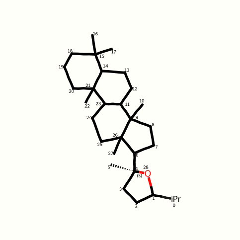 CC(C)C1CC[C@@](C)(C2CCC3(C)C4CCC5C(C)(C)CCCC5(C)C4CCC23C)O1